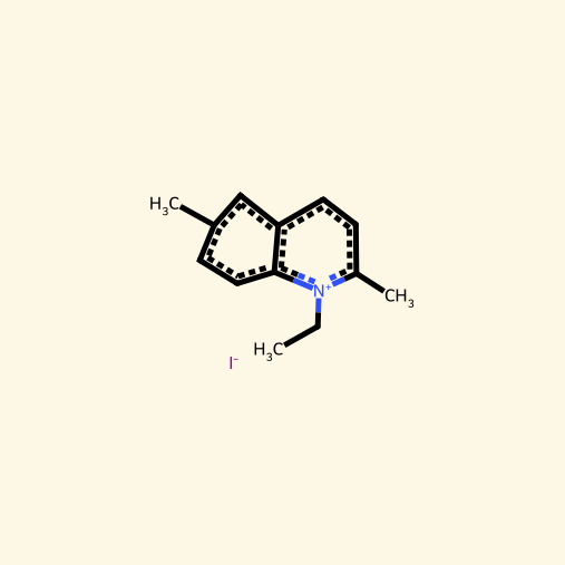 CC[n+]1c(C)ccc2cc(C)ccc21.[I-]